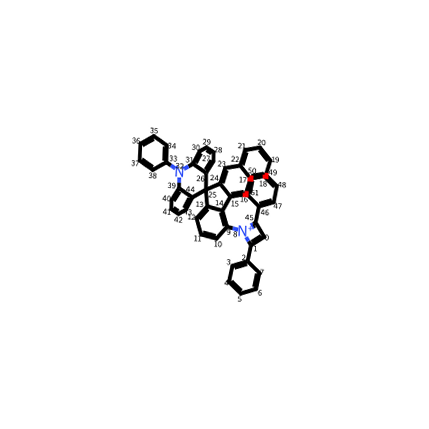 C1=C(c2ccccc2)[N+](c2cccc3c2-c2cc4ccccc4cc2C32c3ccccc3N(c3ccccc3)c3ccccc32)=C1c1ccccc1